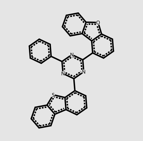 c1ccc(-c2nc(-c3cccc4c3sc3ccccc34)nc(-c3cccc4oc5ccccc5c34)n2)cc1